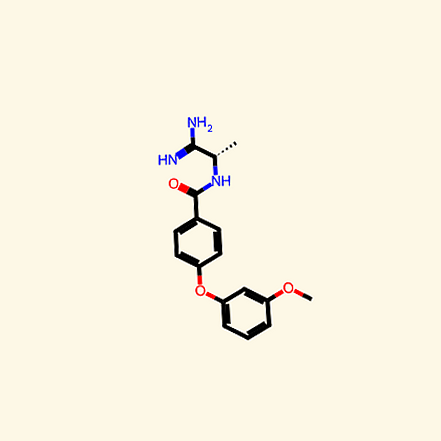 COc1cccc(Oc2ccc(C(=O)N[C@@H](C)C(=N)N)cc2)c1